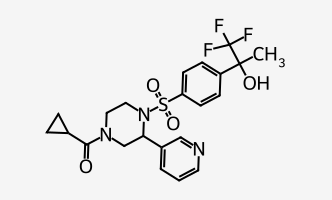 CC(O)(c1ccc(S(=O)(=O)N2CCN(C(=O)C3CC3)CC2c2cccnc2)cc1)C(F)(F)F